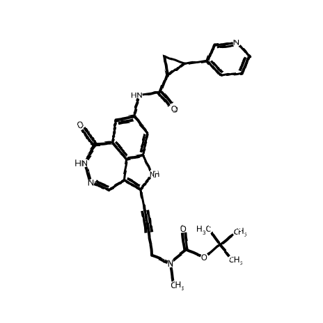 CN(CC#Cc1[nH]c2cc(NC(=O)C3CC3c3cccnc3)cc3c2c1C=NNC3=O)C(=O)OC(C)(C)C